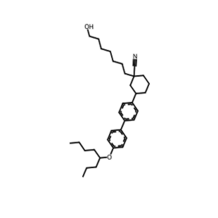 CCCCC(CCC)Oc1ccc(-c2ccc(C3CCCC(C#N)(CCCCCCCO)C3)cc2)cc1